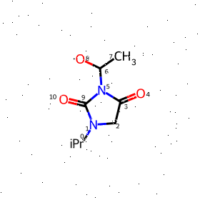 CC(C)N1CC(=O)N(C(C)[O])C1=O